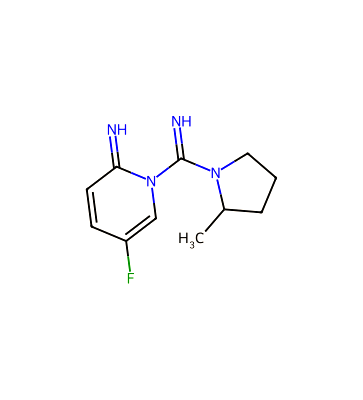 CC1CCCN1C(=N)n1cc(F)ccc1=N